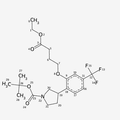 CCOC(=O)CCCOc1cc(C(F)(F)F)ccc1C1CCN(C(=O)OC(C)(C)C)C1